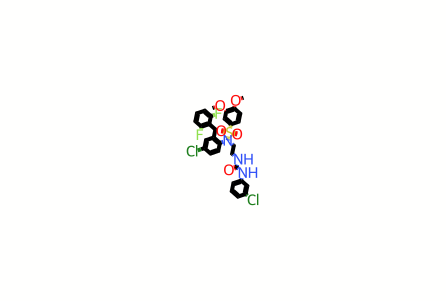 COc1ccc(S(=O)(=O)N(CCNC(=O)Nc2cccc(Cl)c2)c2ccc(Cl)cc2Cc2c(F)cccc2F)cc1OC